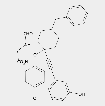 O=CNCC(=O)O.Oc1ccc(OC2(C#Cc3cncc(O)c3)CCC(Cc3ccccc3)CC2)cc1